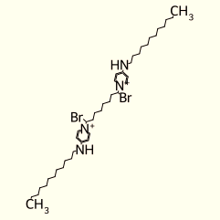 CCCCCCCCCCCCNc1cc[n+](C(Br)CCCCCCC(Br)[n+]2ccc(NCCCCCCCCCCCC)cc2)cc1